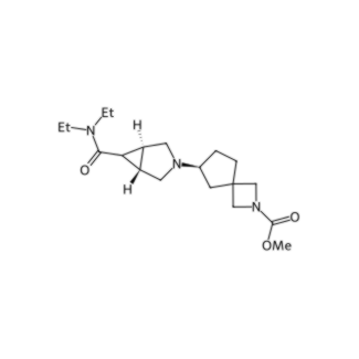 CCN(CC)C(=O)C1[C@H]2CN([C@H]3CCC4(C3)CN(C(=O)OC)C4)C[C@H]12